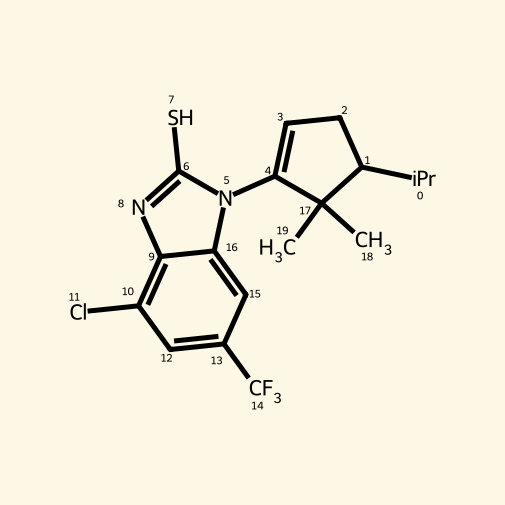 CC(C)C1CC=C(n2c(S)nc3c(Cl)cc(C(F)(F)F)cc32)C1(C)C